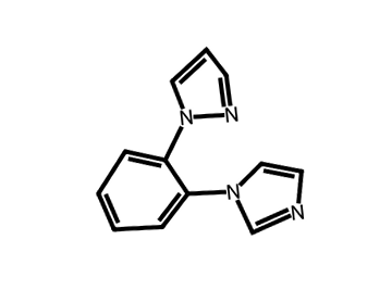 c1ccc(-n2cccn2)c(-n2ccnc2)c1